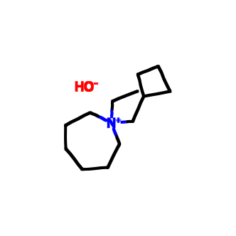 CC[N+]1(CC2CCC2)CCCCCC1.[OH-]